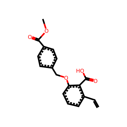 C=Cc1cccc(OCc2ccc(C(=O)OC)cc2)c1C(=O)O